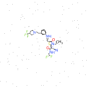 CCn1c(=O)c(=C=CNc2cccc(CCN3CCC(C(F)(F)F)CC3)c2)s/c1=C(/C#N)C(=O)NCC(F)F